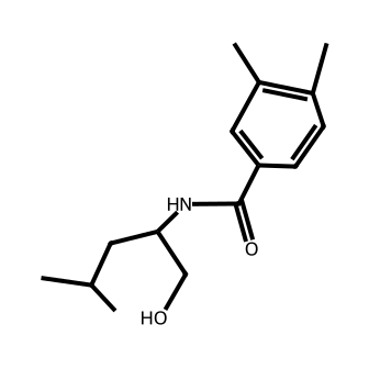 Cc1ccc(C(=O)NC(CO)CC(C)C)cc1C